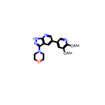 COc1cc(-c2cnc3[nH]nc(N4CCOCC4)c3c2)cnc1OC